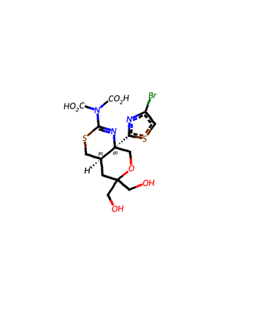 O=C(O)N(C(=O)O)C1=N[C@@]2(c3nc(Br)cs3)COC(CO)(CO)C[C@H]2CS1